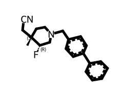 C[C@@]1(CC#N)CCN(Cc2ccc(-c3ccccc3)cc2)C[C@@H]1F